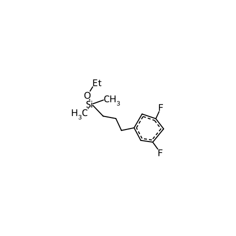 CCO[Si](C)(C)CCCc1cc(F)cc(F)c1